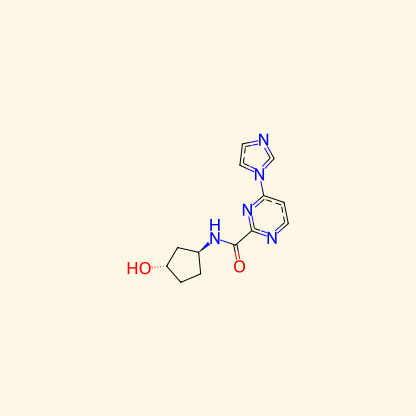 O=C(N[C@H]1CC[C@H](O)C1)c1nccc(-n2ccnc2)n1